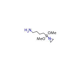 CO[Si](CCCCN)(OC)N1CC1